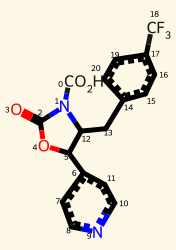 O=C(O)N1C(=O)OC(c2ccncc2)C1Cc1ccc(C(F)(F)F)cc1